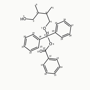 CC(CO)C(C)CO[PH](OC(=O)c1ccccc1)(c1ccccc1)c1ccccc1